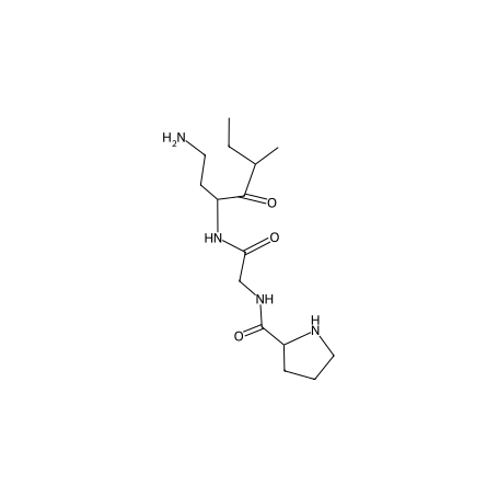 CCC(C)C(=O)C(CCN)NC(=O)CNC(=O)C1CCCN1